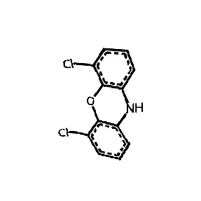 Clc1cccc2c1Oc1c(Cl)cccc1N2